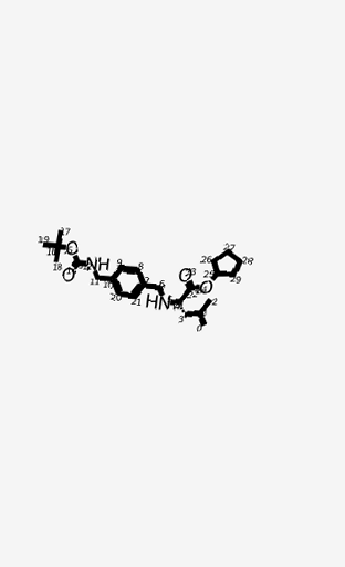 CC(C)C[C@H](NCc1ccc(CNC(=O)OC(C)(C)C)cc1)C(=O)OC1CCCC1